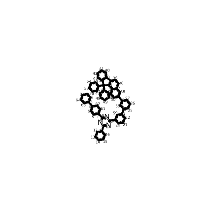 c1ccc(-c2ccc(-c3nc(-c4ccccc4)nc(-c4cccc(-c5cccc(-c6ccc7c8c(ccc7c6)-c6ccccc6C8(c6ccccc6)c6ccccc6)c5)c4)n3)cc2)cc1